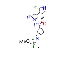 COCC(F)(F)CN1Cc2ccc(NC(=O)/C=C/c3cncc(F)c3-c3cn[nH]c3)cc2C1